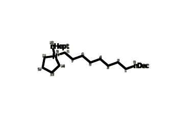 CCCCCCCCCCCCCCCCCC[N+]1(CCCCCCC)CCCC1